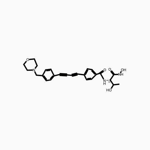 CC(O)[C@H](NC(=O)c1ccc(C#CC#Cc2ccc(CN3CCOCC3)cc2)cc1)C(=O)NO